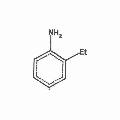 CCc1c[c]ccc1N